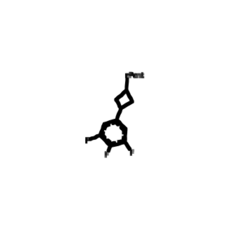 CCCCCC1CC(c2cc(F)c(F)c(F)c2)C1